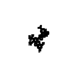 CC(C)c1cnc(S(C)(=O)=O)c(-c2coc(-c3cc(C(F)(F)F)c(C#N)c(=O)n3Cc3ccc(F)cc3F)c2)c1